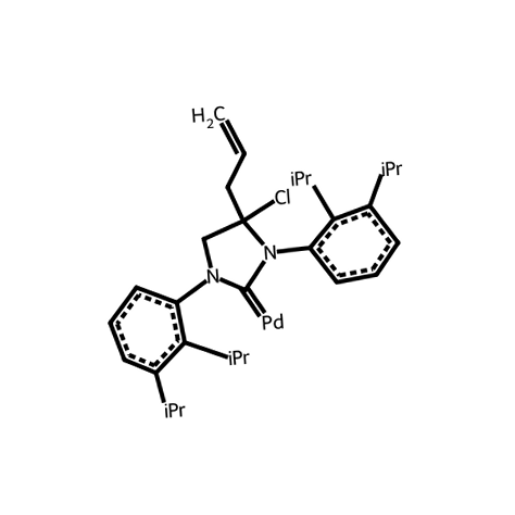 C=CCC1(Cl)CN(c2cccc(C(C)C)c2C(C)C)[C](=[Pd])N1c1cccc(C(C)C)c1C(C)C